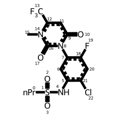 CCCS(=O)(=O)Nc1cc(-n2c(=O)cc(C(F)(F)F)n(C)c2=O)c(F)cc1Cl